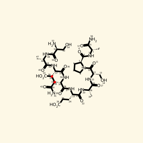 C[C@H](NC(=O)[C@@H]1CCCN1C(=O)[C@H](CO)NC(=O)[C@H](C)NC(=O)[C@H](CCC(=O)O)NC(=O)[C@H](CCC(=O)O)NC(=O)[C@H](CCC(N)=O)NC(=O)[C@H](C)NC(=O)[C@@H](N)CO)C(N)=O